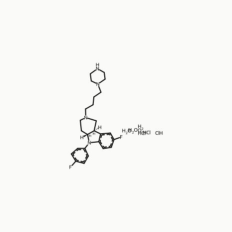 Cl.Cl.Cl.Fc1ccc(N2c3ccc(F)cc3[C@@H]3CN(CCCCN4CCNCC4)CC[C@H]32)cc1.O.O.O